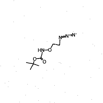 CC(C)(C)OC(=O)NOCCN=[N+]=[N-]